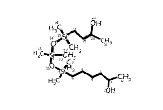 CC(O)CCCC[Si](C)(C)O[Si](C)(C)O[Si](C)(C)CCC(C)O